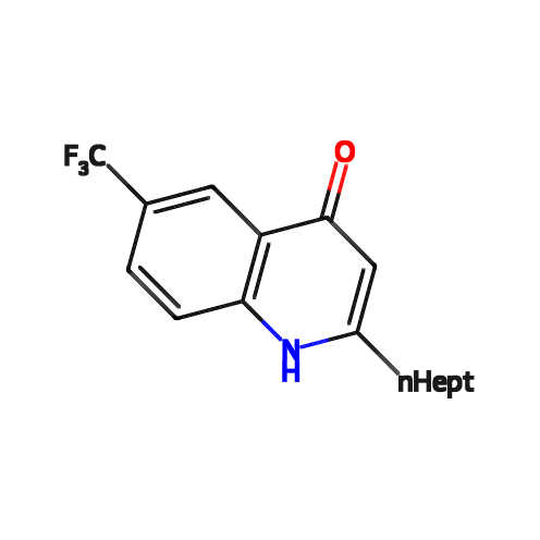 CCCCCCCc1cc(=O)c2cc(C(F)(F)F)ccc2[nH]1